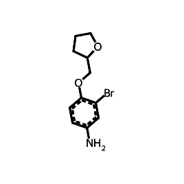 Nc1ccc(OCC2CCCO2)c(Br)c1